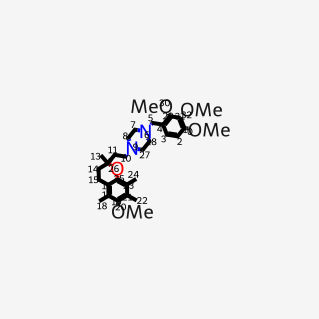 COc1ccc(CN2CCN(CCC3(C)CCc4c(C)c(OC)c(C)c(C)c4O3)CC2)c(OC)c1OC